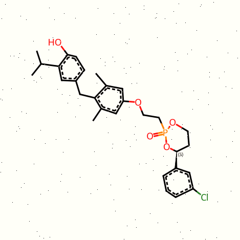 Cc1cc(OCCP2(=O)OCC[C@@H](c3cccc(Cl)c3)O2)cc(C)c1Cc1ccc(O)c(C(C)C)c1